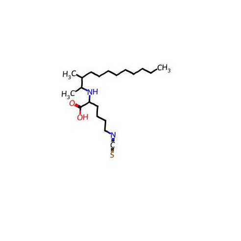 CCCCCCCCCC(C)C(C)NC(CCCCN=C=S)C(=O)O